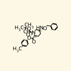 Cc1ccc(OC(=O)[C@@H]2CC[C@@H](NOCc3ccccc3)CN2C(=O)OC(C)(C)C)cc1